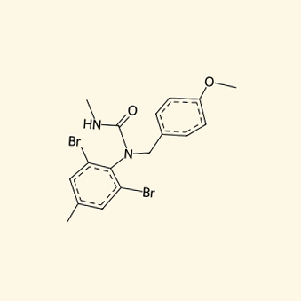 CNC(=O)N(Cc1ccc(OC)cc1)c1c(Br)cc(C)cc1Br